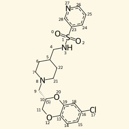 O=S(=O)(NCC1CCN(C[C@H]2COc3ccc(Cl)cc3O2)CC1)c1cccnc1